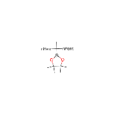 CCCCCCC(C)(CCCCC)B1OC(C)(C)C(C)(C)O1